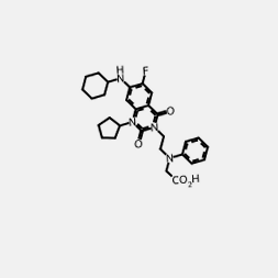 O=C(O)CN(CCn1c(=O)c2cc(F)c(NC3CCCCC3)cc2n(C2CCCC2)c1=O)c1ccccc1